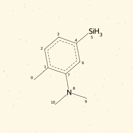 Cc1ccc([SiH3])cc1N(C)C